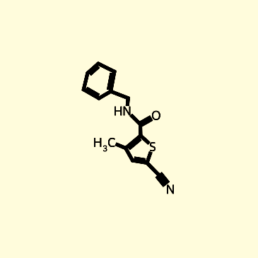 Cc1cc(C#N)sc1C(=O)NCc1ccccc1